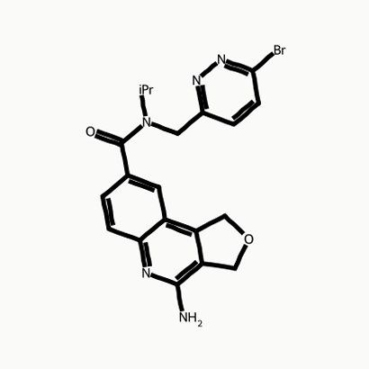 CC(C)N(Cc1ccc(Br)nn1)C(=O)c1ccc2nc(N)c3c(c2c1)COC3